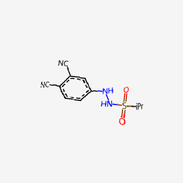 CC(C)S(=O)(=O)NNc1ccc(C#N)c(C#N)c1